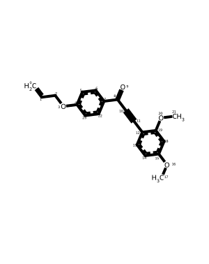 C=CCOc1ccc(C(=O)C#Cc2ccc(OC)cc2OC)cc1